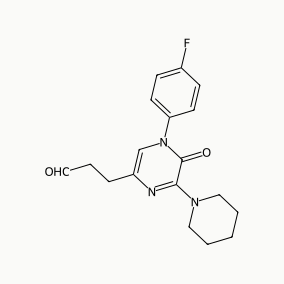 O=CCCc1cn(-c2ccc(F)cc2)c(=O)c(N2CCCCC2)n1